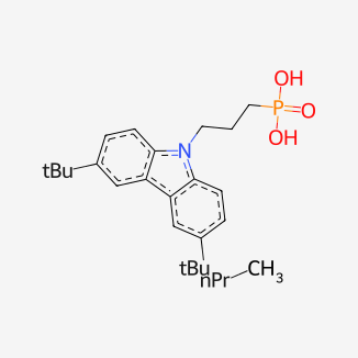 CC(C)(C)c1ccc2c(c1)c1cc(C(C)(C)C)ccc1n2CCCP(=O)(O)O.CCCC